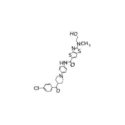 CN(CCO)c1nc2sc(C(=O)Nc3ccc(N4CCC(C(=O)c5ccc(Cl)cc5)CC4)cc3)cc2s1